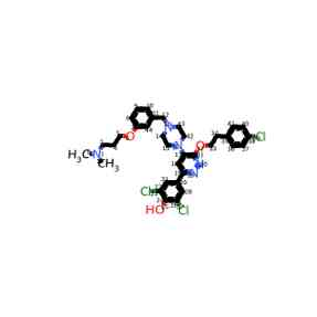 CN(C)CCCOc1cccc(CN2CCN(c3cc(-c4cc(Cl)c(O)c(Cl)c4)nnc3OCCc3ccc(Cl)cc3)CC2)c1